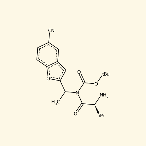 CC(C)[C@H](N)C(=O)N(C(=O)OC(C)(C)C)C(C)c1cc2cc(C#N)ccc2o1